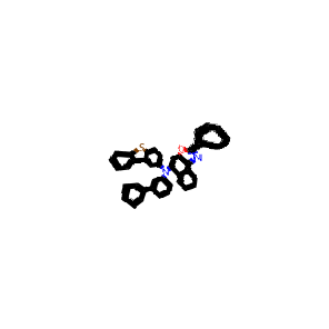 c1ccc(-c2cccc(N(c3ccc4sc5ccccc5c4c3)c3cc4oc(-c5ccccc5)nc4c4ccccc34)c2)cc1